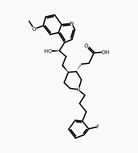 COc1ccc2nccc([C@H](O)CC[C@@H]3CCN(CCCc4ccccc4F)C[C@H]3CCC(=O)O)c2c1